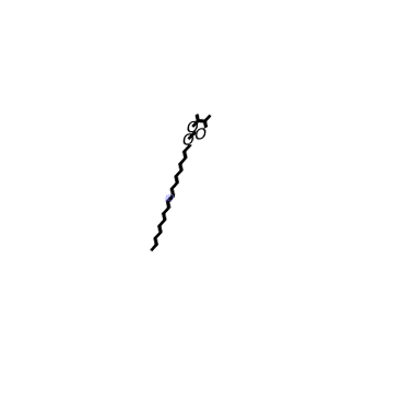 CCCCCCCC/C=C/CCCCCCCCOC(=O)OC(C)C(C)C